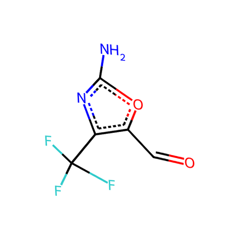 Nc1nc(C(F)(F)F)c(C=O)o1